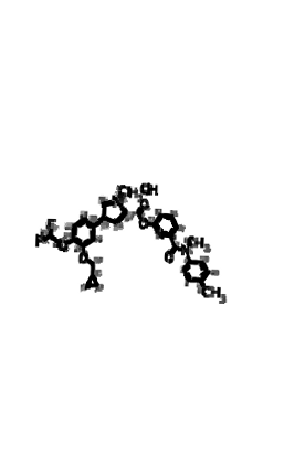 Cc1ccc(N(C)C(=O)c2cccc(OC(=O)[C@@H]3CC(c4ccc(OC(F)F)c(OCC5CC5)c4)CN3C)n2)cc1.Cl